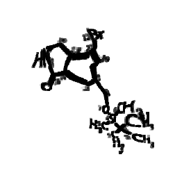 CC(C)(C)[Si](C)(C)OCc1cc(Br)c2c(c1)C(=O)NC2